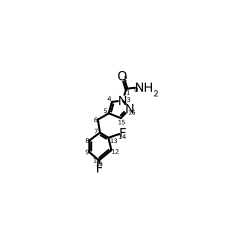 NC(=O)n1cc(Cc2ccc(F)cc2F)cn1